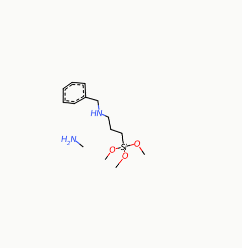 CN.CO[Si](CCCNCc1ccccc1)(OC)OC